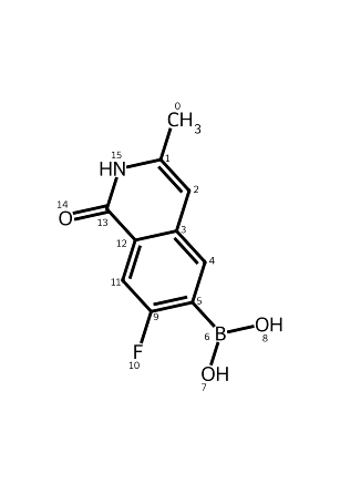 Cc1cc2cc(B(O)O)c(F)cc2c(=O)[nH]1